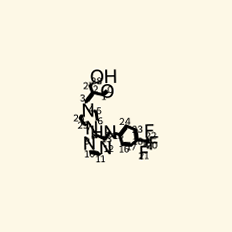 O=CC(=CN1CCN(c2nccnc2Nc2ccc(C(F)(F)F)cc2)CC1)CO